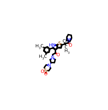 Cc1cc(C)cc(-c2[nH]c3sc(C(C)(C)C(=O)N4C5CCC4CC5)cc3c2C(=O)CN2CCC(N3CCS(=O)(=O)CC3)C2)c1